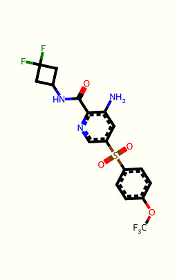 Nc1cc(S(=O)(=O)c2ccc(OC(F)(F)F)cc2)cnc1C(=O)NC1CC(F)(F)C1